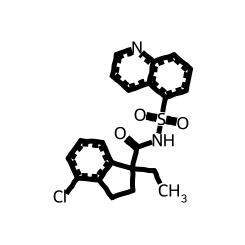 CCC1(C(=O)NS(=O)(=O)c2cccc3ncccc23)CCc2c(Cl)cccc21